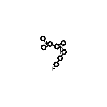 Fc1ccc(-c2ccc(-c3cccc(-n4c5ccccc5c5cc(-c6ccc7c(c6)c6ccccc6n7-c6ccccc6)ccc54)n3)cc2)cc1